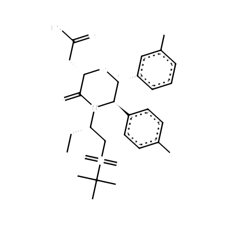 CC[C@@H](CS(=O)(=O)C(C)(C)C)N1C(=O)[C@H](CC(N)=O)O[C@H](c2cccc(Cl)c2)[C@H]1c1ccc(Cl)cc1